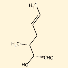 CC=CC[C@@H](C)[C@@H](O)C=O